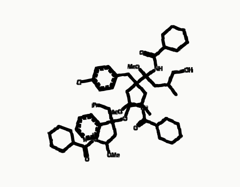 COC(CC(CC(C)C)(OCC(C)CC(Cc1ccc(Cl)cc1)(CC(NC(=O)C1CCCCC1)OC)C(CC(C)CO)(NC(=O)C1CCCCC1)OC)c1cccnc1)NC(=O)C1CCCCC1